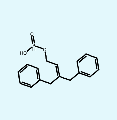 O=[PH](O)OCC=C(Cc1ccccc1)Cc1ccccc1